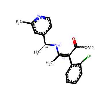 COC(=O)/C(=C(/C)N[C@H](C)c1ccnc(C(F)(F)F)c1)c1ccccc1Br